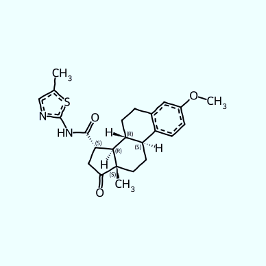 COc1ccc2c(c1)CC[C@H]1[C@@H]3[C@@H](C(=O)Nc4ncc(C)s4)CC(=O)[C@@]3(C)CC[C@H]21